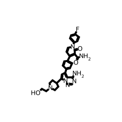 NC(=O)c1c(-c2ccc(-c3cc(C4CCN(CCO)CC4)n4ncnc(N)c34)cc2)ccn(-c2ccc(F)cc2)c1=O